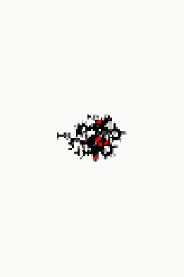 CC(C)(C(N)=O)C1(C)c2ccc(cc2)[C@]1(C(=O)NC(=O)O)N1CCCC1c1c(Br)c(Br)c(C2CCCN2[C@@]2(C(=O)NC(=O)O)c3ccc(cc3)C2(C)CC(N)=O)n1-c1ccc(F)cc1